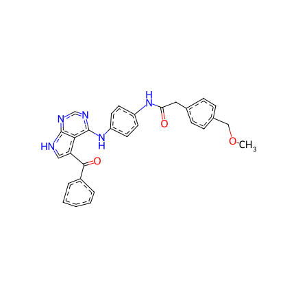 COCc1ccc(CC(=O)Nc2ccc(Nc3ncnc4[nH]cc(C(=O)c5ccccc5)c34)cc2)cc1